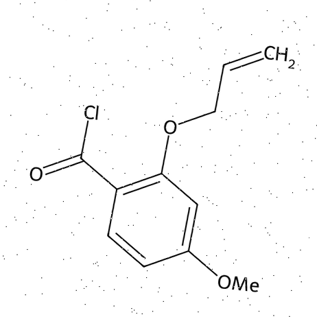 C=CCOc1cc(OC)ccc1C(=O)Cl